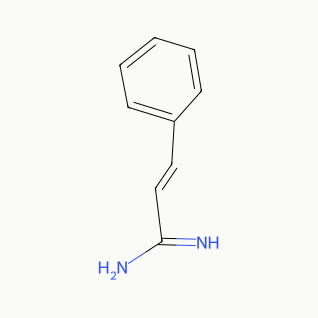 N=C(N)/C=C/c1ccccc1